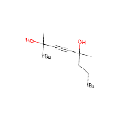 CCCCC(C)(O)C#CC(C)(O)CCC(C)CC